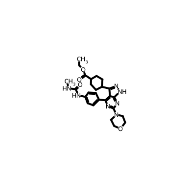 CCOC(=O)C1CCC(c2n[nH]c3nc(N4CCOCC4)nc(-c4ccc(NC(=O)NC)cc4)c23)CC1